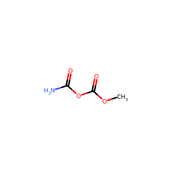 COC(=O)OC(N)=O